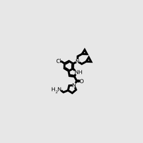 NCC1CCN(C(=O)c2cc3cc(Cl)cc(N(CC4CC4)CC4CC4)c3[nH]2)C1